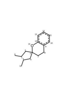 CCCC1(CCC)CCc2ccccc2O1